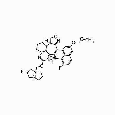 C#Cc1c(F)ccc2cc(OCOC)cc(C3=C(F)C4=NC(OC[C@@]56CCCN5C[C@H](F)C6)=NN5CCCC(=C45)[C@H]4CON=C34)c12